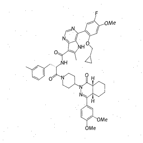 COc1cc(OCC2CC2)c(-c2ncnc3c(C(=O)N[C@@H](Cc4cccc(C)c4)C(=O)N4CCC(N5N=C(c6ccc(OC)c(OC)c6)[C@H]6CCCC[C@H]6C5=O)CC4)c(C)[nH]c23)cc1F